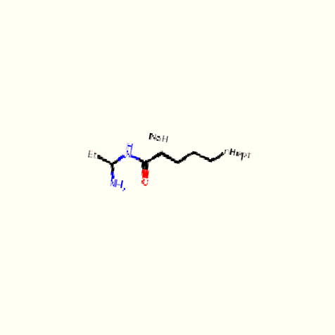 CCCCCCCCCCCC(=O)NC(N)CC.[NaH]